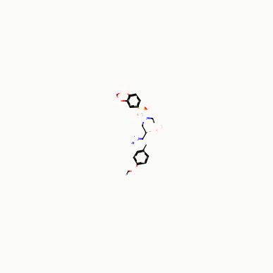 CC(C)CN(C[C@@H](O)[C@H](Cc1ccc(OCC(F)(F)F)cc1)NC(=O)O)S(=O)(=O)c1ccc2c(c1)OCO2